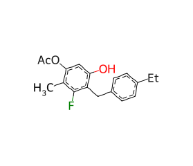 CCc1ccc(Cc2c(O)cc(OC(C)=O)c(C)c2F)cc1